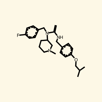 C=C(NCc1ccc(OCC(C)C)cc1)N(Cc1ccc(F)cc1)C1CCCN(C)C1